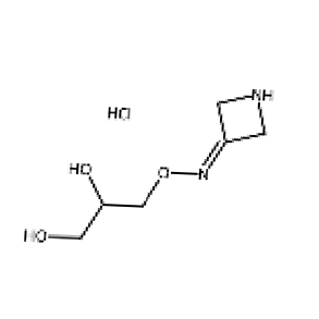 Cl.OCC(O)CON=C1CNC1